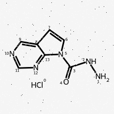 Cl.NNC(=O)n1ccc2cncnc21